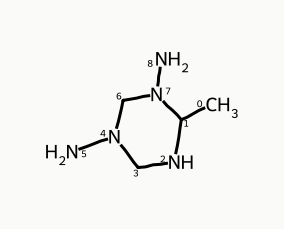 CC1NCN(N)CN1N